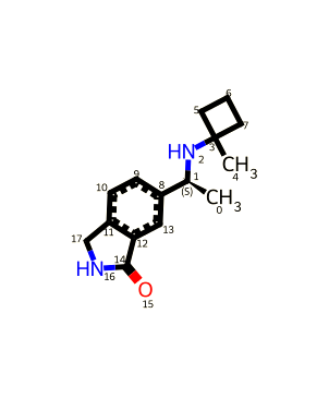 C[C@H](NC1(C)CCC1)c1ccc2c(c1)C(=O)NC2